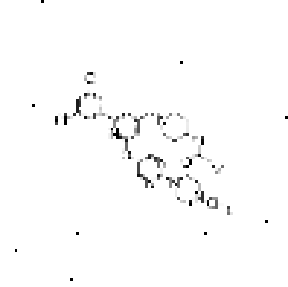 CN1CCN(c2ncc(Oc3cc(CN4CCC(OC(=O)C5CC5)CC4)cc(-c4cc(Cl)cc(Cl)c4)n3)cn2)CC1